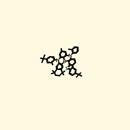 Cc1cc2c3c(c1)N(c1ccccc1C)c1ccc4c(sc5ccc(C(C)(C)C)cc54)c1B3c1cc3c(cc1N2c1ccc(C(C)(C)C)cc1C)C(C)(C)CCC3(C)C